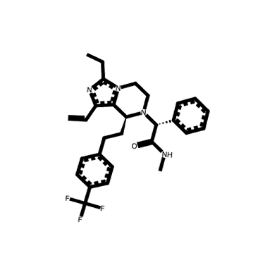 C=Cc1nc(CC)n2c1[C@H](CCc1ccc(C(F)(F)F)cc1)N([C@@H](C(=O)NC)c1ccccc1)CC2